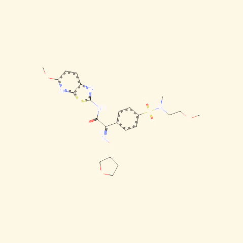 COCCN(C)S(=O)(=O)c1ccc(/C(=N\O[C@@H]2CCOC2)C(=O)Nc2nc3ccc(OC)nc3s2)cc1